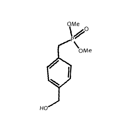 COP(=O)(Cc1ccc(CO)cc1)OC